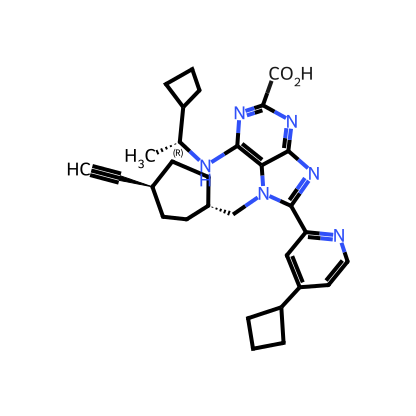 C#C[C@H]1CC[C@H](Cn2c(-c3cc(C4CCC4)ccn3)nc3nc(C(=O)O)nc(N[C@H](C)C4CCC4)c32)CC1